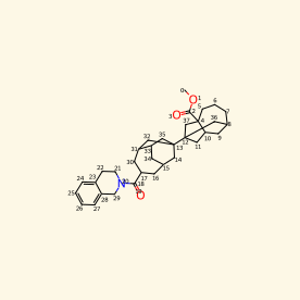 COC(=O)C12CCCC3CC1CC(C14CC5CC(C(=O)N6CCc7ccccc7C6)CC(C1)C(C5)C4)(C3)C2